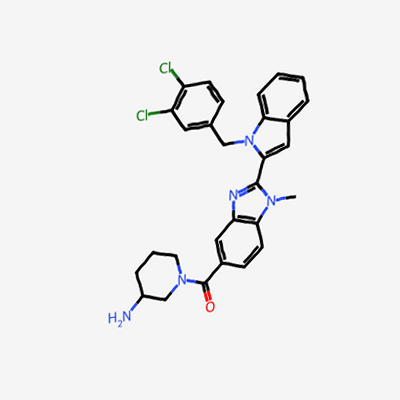 Cn1c(-c2cc3ccccc3n2Cc2ccc(Cl)c(Cl)c2)nc2cc(C(=O)N3CCCC(N)C3)ccc21